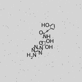 Nc1ncnc2c1ncn2[C@@H]1O[C@H](CNC(=O)C#Cc2ccccc2O)[C@H](O)C1O